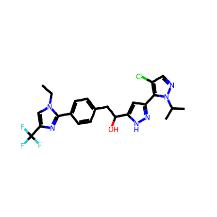 CCn1cc(C(F)(F)F)nc1-c1ccc(CC(O)c2cc(-c3c(Cl)cnn3C(C)C)n[nH]2)cc1